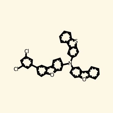 Clc1cc(Cl)cc(-c2ccc3oc4cc(N(c5ccc6oc7ccccc7c6c5)c5ccc6sc7ccccc7c6c5)ccc4c3c2)c1